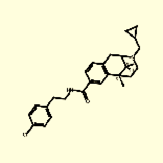 C[C@H]1C2Cc3ccc(C(=O)NCCc4ccc(Cl)cc4)cc3[C@@]1(C)CCN2CC1CC1